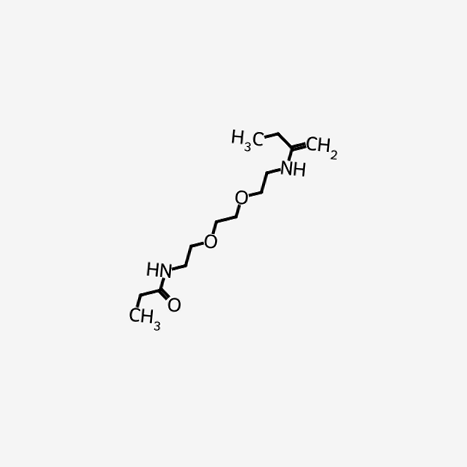 C=C(CC)NCCOCCOCCNC(=O)CC